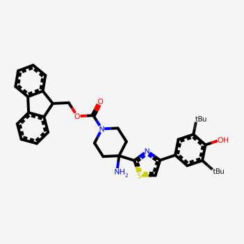 CC(C)(C)c1cc(-c2csc(C3(N)CCN(C(=O)OCC4c5ccccc5-c5ccccc54)CC3)n2)cc(C(C)(C)C)c1O